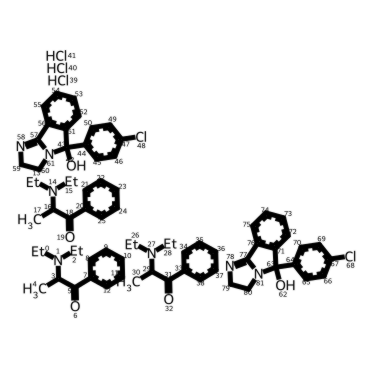 CCN(CC)C(C)C(=O)c1ccccc1.CCN(CC)C(C)C(=O)c1ccccc1.CCN(CC)C(C)C(=O)c1ccccc1.Cl.Cl.Cl.OC1(c2ccc(Cl)cc2)c2ccccc2C2=NCCN21.OC1(c2ccc(Cl)cc2)c2ccccc2C2=NCCN21